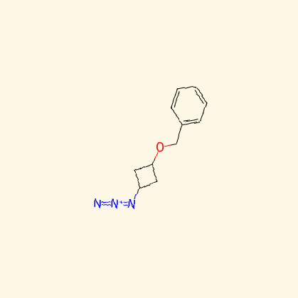 [N-]=[N+]=NC1CC(OCc2ccccc2)C1